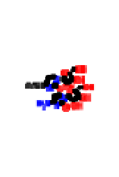 CC(=O)Nc1ccn([C@@H]2O[C@H](CO)[C@@H](O)[C@H]2O)c(=O)n1.Nc1ccn([C@@H]2O[C@H](CO)[C@@H](O)[C@H]2O)c(=O)n1